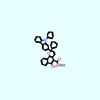 COC(=O)c1c2c(c3ccccc3c1O)OC(c1ccccc1)(c1ccc3c4ccccc4n(-c4ccccc4)c3c1)C=C2